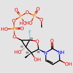 COP(=O)(O)OP(=O)(O)OP(=O)(O)OC1[C@]2(O)[C@@](C)(O)[C@H](N3C=CC(O)NC3=O)O[C@]12F